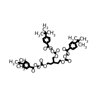 CC(C)(C)c1ccc(C(=O)OOC(=O)OCCC(CCOC(=O)OOC(=O)c2ccc(C(C)(C)C)cc2)COC(=O)OOC(=O)c2ccc(C(C)(C)C)cc2)cc1